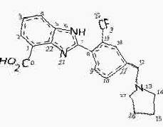 O=C(O)c1cccc2[nH]c(-c3ccc(CN4CCCC4)cc3C(F)(F)F)nc12